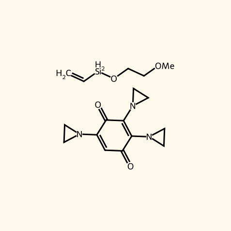 C=C[SiH2]OCCOC.O=C1C=C(N2CC2)C(=O)C(N2CC2)=C1N1CC1